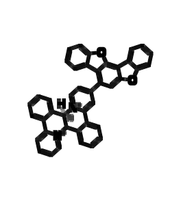 c1ccc2c(c1)-c1cc(-c3cc4oc5ccccc5c4c4oc5ccccc5c34)cc[n+]1[C@@H]1c3ccccc3-c3cccc[n+]3C21